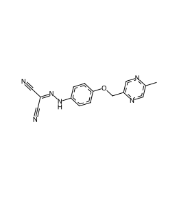 Cc1cnc(COc2ccc(NN=C(C#N)C#N)cc2)cn1